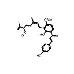 C=C(C)C(CCC(C)=CCc1c(OC)ccc(C(=O)C=Cc2ccc(O)cc2)c1O)OO